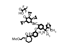 CCC1(c2cccc(Oc3cc(C(C)(N)c4cncn4C)ccc3C#N)c2)CCCCN(CCOC)C1=O.O=C(O)C(F)(F)F.O=C1C=C(N2CC2)C(=O)C(N2CC2)=C1N1CC1